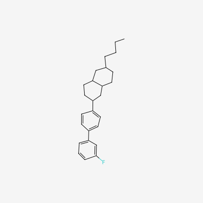 CCCCC1CCC2CC(c3ccc(-c4cccc(F)c4)cc3)CCC2C1